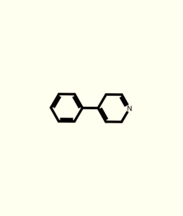 C1=NCC=C(c2ccccc2)C1